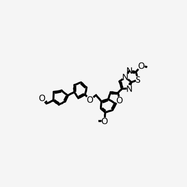 COc1cc(COc2cccc(-c3ccc(C=O)cc3)c2)c2cc(-c3cn4nc(OC)sc4n3)oc2c1